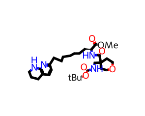 COC(=O)[C@H](CCCCCCCc1ccc2c(n1)NCCC2)NC(=O)C1(CNC(=O)OC(C)(C)C)CCOCC1